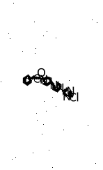 O=C(OCc1ccccc1)N1CCC(N2CCN(c3cnc(Cl)nc3)CC2)CC1